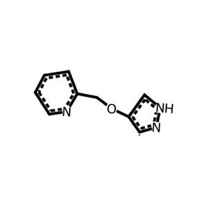 [c]1n[nH]cc1OCc1ccccn1